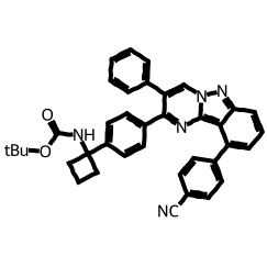 CC(C)(C)OC(=O)NC1(c2ccc(-c3nc4c5c(-c6ccc(C#N)cc6)cccc5nn4cc3-c3ccccc3)cc2)CCC1